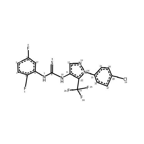 Fc1ccc(F)c(NC(=S)Nc2cnn(-c3ccc(Cl)cc3)c2C(F)(F)F)c1